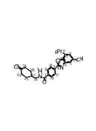 CC(C)c1cc(C#N)cc2nc(-c3ccc(C(=O)NCC4CCC(=O)CC4)cc3)oc12